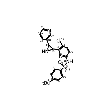 CC(C)(C)c1ccc(S(=O)(=O)Nc2ccc(Cl)c(C3NC3c3cncnc3)n2)cc1